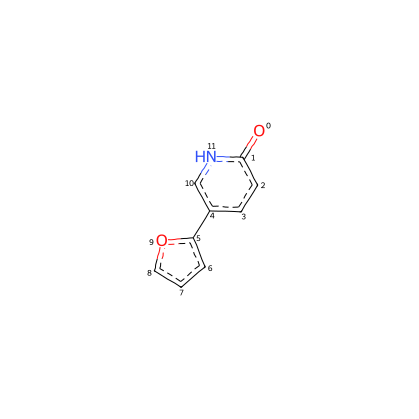 O=c1ccc(-c2ccco2)c[nH]1